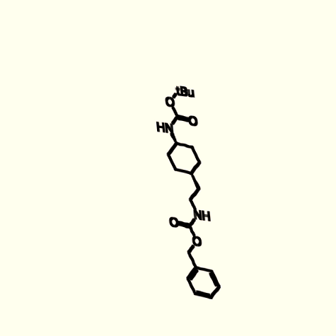 CC(C)(C)OC(=O)N[C@H]1CC[C@@H](CCNC(=O)OCc2ccccc2)CC1